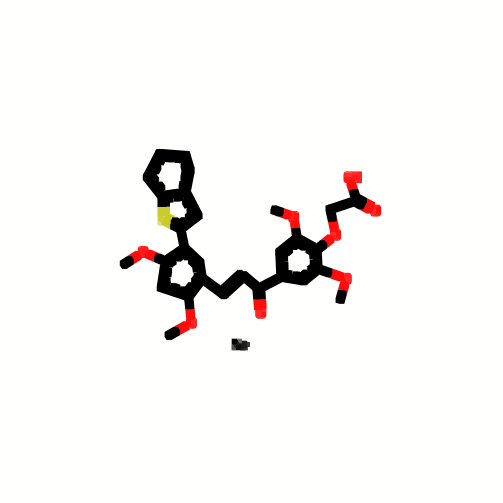 COc1cc(OC)c(-c2cc3ccccc3s2)cc1C=CC(=O)c1cc(OC)c(OCC(=O)O)c(OC)c1.[Na]